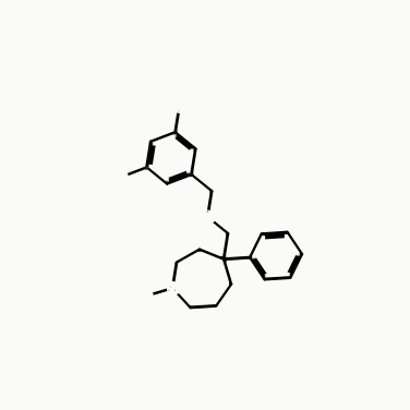 CN1CCCC(COCc2cc(C(F)(F)F)cc(C(F)(F)F)c2)(c2ccccc2)CC1